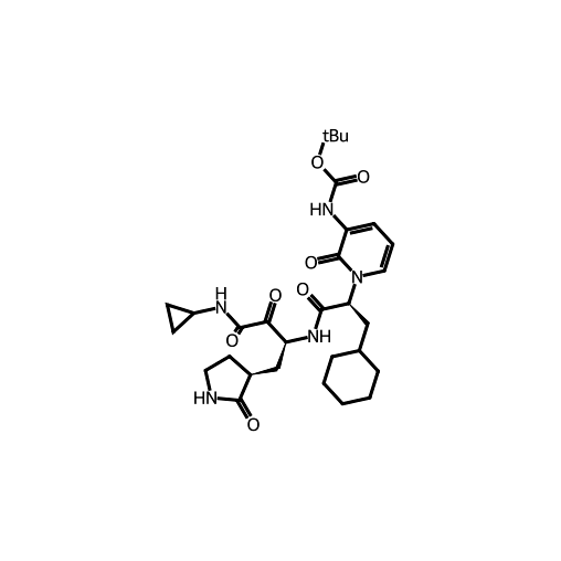 CC(C)(C)OC(=O)Nc1cccn([C@@H](CC2CCCCC2)C(=O)N[C@@H](C[C@@H]2CCNC2=O)C(=O)C(=O)NC2CC2)c1=O